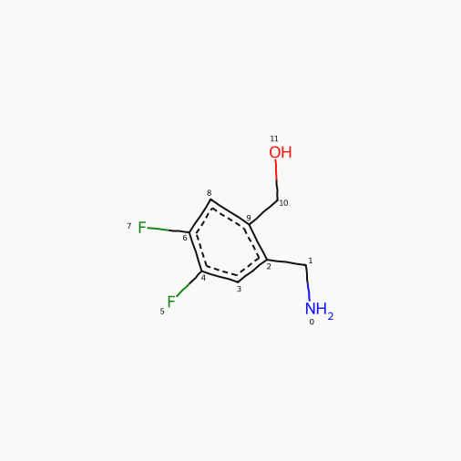 NCc1cc(F)c(F)cc1CO